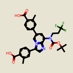 Cc1cc(-c2cc(N(CCC(F)(F)F)C(=O)OC(C)(C)C)c3ncc(-c4ccc(C(=O)O)c(C)c4)n3c2)ccc1C(=O)O